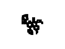 C[C@H](Nc1nc(Nc2cnccn2)cc(-c2cncs2)n1)c1ccc(F)cc1